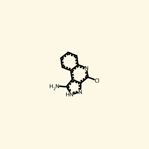 Nc1[nH]nc2c(Cl)nc3ccccc3c12